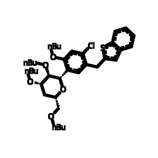 CCCCOC[C@@H]1C[C@H](OCCCC)[C@@H](OCCCC)[C@H](c2cc(Cc3cc4ccccc4s3)c(Cl)cc2OCCCC)O1